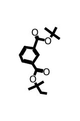 CCC(C)(C)OC(=O)c1cccc(C(=O)OC(C)(C)C)c1